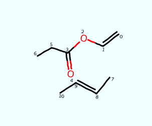 C=COC(=O)CC.CC=CC